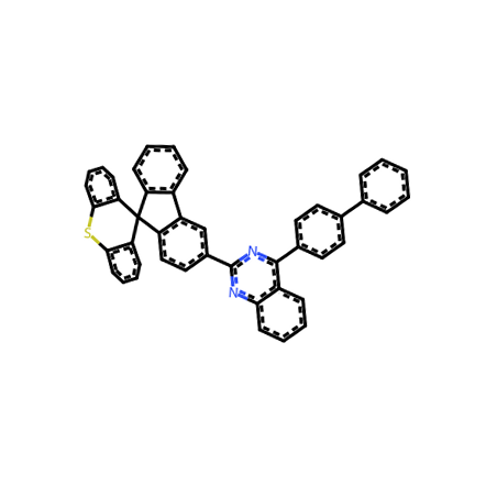 c1ccc(-c2ccc(-c3nc(-c4ccc5c(c4)-c4ccccc4C54c5ccccc5Sc5ccccc54)nc4ccccc34)cc2)cc1